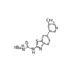 CCCCNC(=O)Nc1nc2ccc(-c3cncc(C)c3)cc2s1